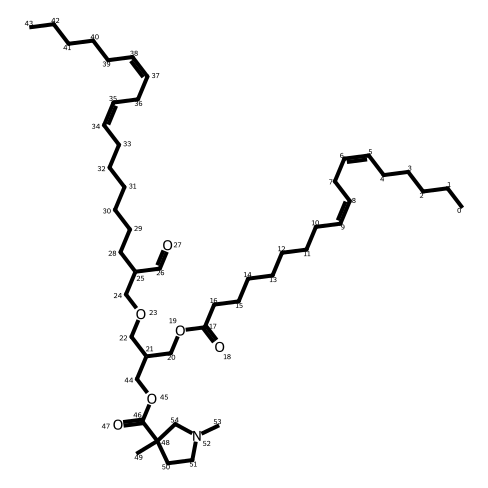 CCCCC/C=C\C/C=C\CCCCCCCC(=O)OCC(COCC(C=O)CCCCCC/C=C\C/C=C\CCCCC)COC(=O)C1(C)CCN(C)C1